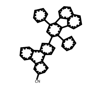 N#Cc1ccc2c3ccc(-c4cc(-c5ccccc5)c5c(c4-c4ccccc4)-c4cccc6cccc-5c46)cc3c3ccccc3c2c1